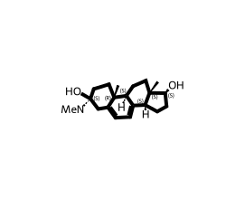 CN[C@]1(O)CC[C@@]2(C)C(=CC=C3[C@@H]4CC[C@H](O)[C@@]4(C)CC[C@@H]32)C1